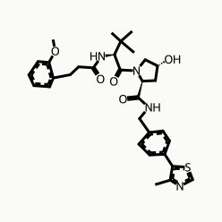 COc1ccccc1CCC(=O)N[C@H](C(=O)N1C[C@H](O)C[C@H]1C(=O)NCc1ccc(-c2scnc2C)cc1)C(C)(C)C